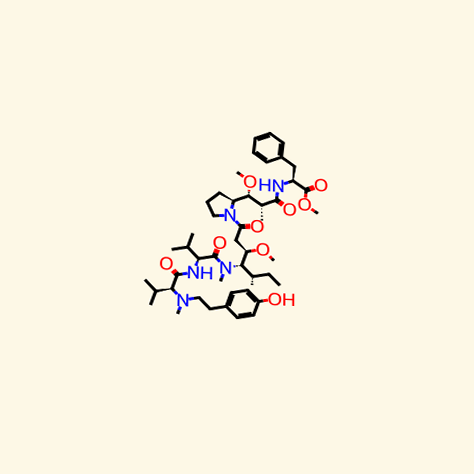 CC[C@H](C)[C@@H]([C@@H](CC(=O)N1CCC[C@H]1[C@H](OC)[C@@H](C)C(=O)N[C@@H](Cc1ccccc1)C(=O)OC)OC)N(C)C(=O)[C@@H](NC(=O)[C@H](C(C)C)N(C)CCc1ccc(O)cc1)C(C)C